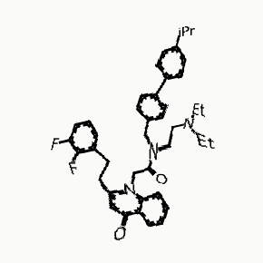 CCN(CC)CCN(Cc1ccc(-c2ccc(C(C)C)cc2)cc1)C(=O)Cn1c(CCc2cccc(F)c2F)cc(=O)c2ccccc21